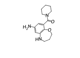 Nc1cc2c(c(C(=O)N3CCCCC3)c1)OCCCN2